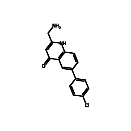 NCc1cc(=O)c2cc(-c3ccc(Cl)cc3)ccc2[nH]1